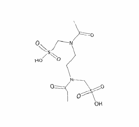 CC(=O)N(CCN(CS(=O)(=O)O)C(C)=O)CS(=O)(=O)O